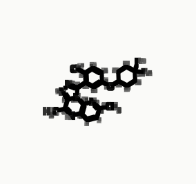 Cc1ccc2nc(C)c3nnc(-c4cc(OC5CCC(F)(F)CC5)ccc4Cl)n3c2n1